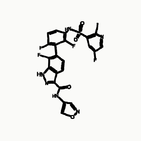 Cc1ncc(F)cc1S(=O)(=O)Nc1ccc(F)c(-c2ccc3c(C(=O)Nc4cnoc4)n[nH]c3c2F)c1F